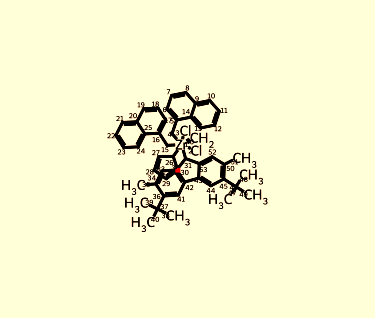 [CH2]=[Zr]([Cl])([Cl])([CH2]c1cccc2ccccc12)([CH2]c1cccc2ccccc12)([CH]1C=CC=C1)[CH]1c2cc(C)c(C(C)(C)C)cc2-c2cc(C(C)(C)C)c(C)cc21